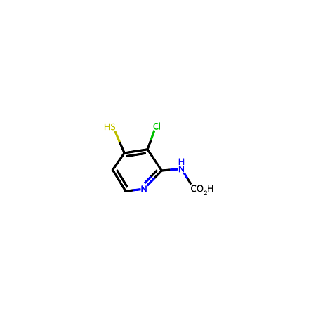 O=C(O)Nc1nccc(S)c1Cl